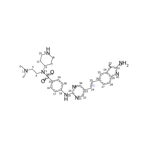 CN(C)CCN(C1CCNCC1)S(=O)(=O)c1ccc(Nc2ncc(/C=C/c3ccc4nc(N)sc4c3)cn2)cc1